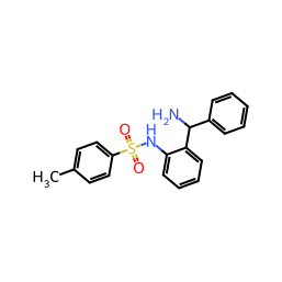 Cc1ccc(S(=O)(=O)Nc2ccccc2C(N)c2ccccc2)cc1